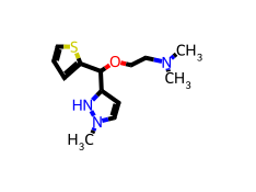 CN(C)CCOC(c1cccs1)C1C=CN(C)N1